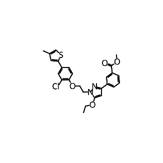 CCOc1cc(-c2cccc(C(=O)OC)c2)nn1CCOc1ccc(-c2cc(C)cs2)cc1Cl